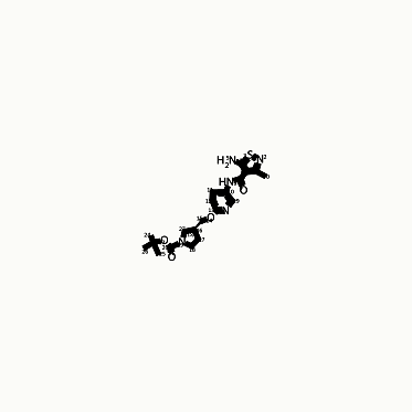 Cc1nsc(N)c1C(=O)Nc1ccc(OC[C@H]2CCN(C(=O)OC(C)(C)C)C2)nc1